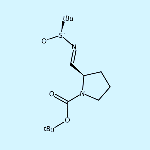 CC(C)(C)OC(=O)N1CCC[C@@H]1C=N[S@@+]([O-])C(C)(C)C